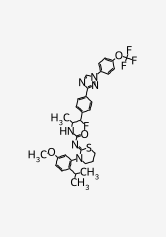 COc1ccc(C(C)C)c(N2CCCS/C2=N\C(=O)NC(C)C(F)c2ccc(-c3ncn(-c4ccc(OC(F)(F)F)cc4)n3)cc2)c1